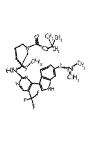 CSC1(Nc2ncc(C(F)(F)F)c(-c3c[nH]c4cc(SN(C)C)ccc34)n2)CCCN(C(=O)OC(C)(C)C)C1